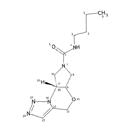 CCCCNC(=O)N1CC2OCc3cnnn3[C@@H]2C1